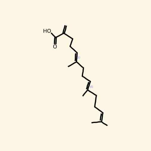 C=C(CC/C=C(\C)CC/C=C(\C)CCC=C(C)C)C(=O)O